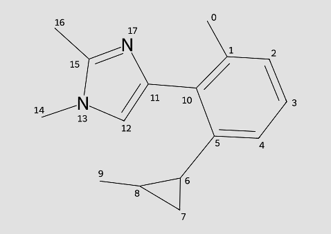 Cc1cccc(C2CC2C)c1-c1cn(C)c(C)n1